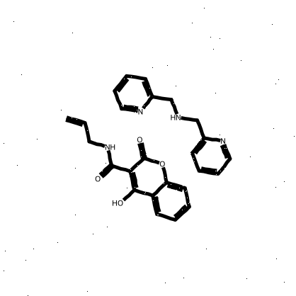 C=CCNC(=O)c1c(O)c2ccccc2oc1=O.c1ccc(CNCc2ccccn2)nc1